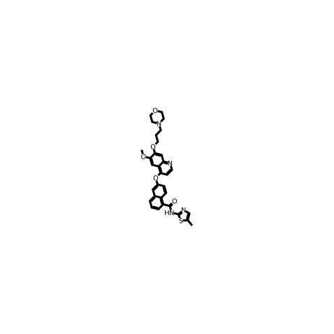 COc1cc2c(Oc3ccc4c(C(=O)Nc5ncc(C)s5)cccc4c3)ccnc2cc1OCCCN1CCOCC1